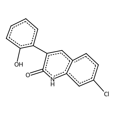 O=c1[nH]c2cc(Cl)ccc2cc1-c1ccccc1O